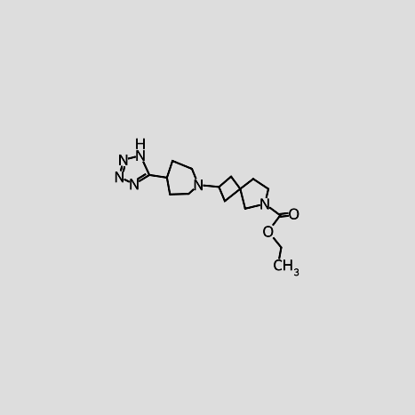 CCOC(=O)N1CCC2(CC(N3CCC(c4nnn[nH]4)CC3)C2)C1